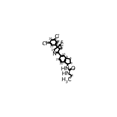 CCNC(=O)NC1CCc2cc(C3=NCC(c4cc(Cl)cc(Cl)c4)(C(F)(F)F)C3)ccc21